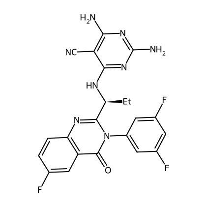 CC[C@H](Nc1nc(N)nc(N)c1C#N)c1nc2ccc(F)cc2c(=O)n1-c1cc(F)cc(F)c1